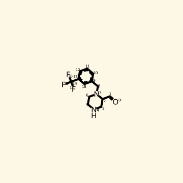 O=CC1CNCCN1Cc1cccc(C(F)(F)F)c1